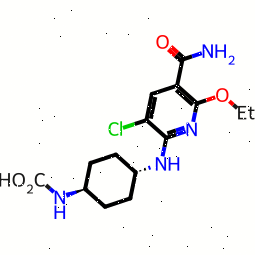 CCOc1nc(N[C@H]2CC[C@H](NC(=O)O)CC2)c(Cl)cc1C(N)=O